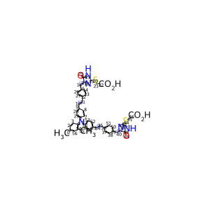 Cc1ccc(N(c2ccc(/C=C/c3ccc(/C=C4\N=C(SCC(=O)O)NC4=O)cc3)cc2)c2ccc(/C=C/c3ccc(/C=C4\N=C(SCC(=O)O)NC4=O)cc3)cc2)c(C)c1